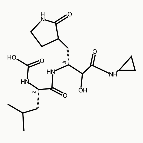 CC(C)C[C@H](NC(=O)O)C(=O)N[C@H](CC1CCNC1=O)C(O)C(=O)NC1CC1